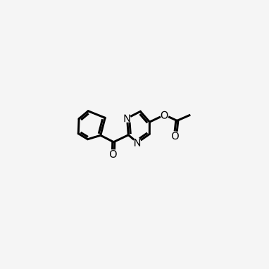 CC(=O)Oc1cnc(C(=O)c2ccccc2)nc1